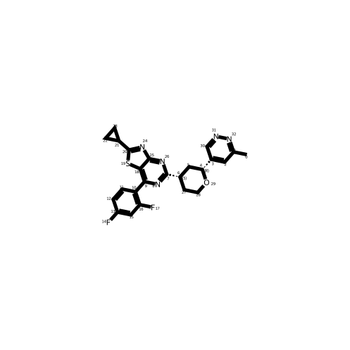 Cc1cc([C@H]2C[C@@H](c3nc(-c4ccc(F)cc4F)c4sc(C5CC5)nc4n3)CCO2)cnn1